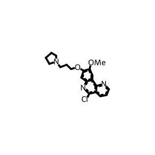 COc1cc2c(cc1OCCCN1CCCC1)nc(Cl)c1cccnc12